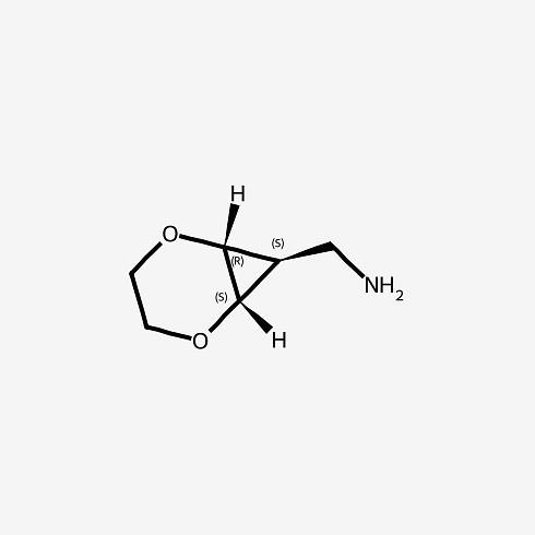 NC[C@@H]1[C@H]2OCCO[C@@H]12